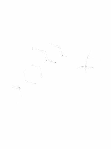 CC(C)(C)OC(=O)N1CCN(c2cc(B3OC(C)(C)C(C)(C)O3)cnc2C#N)CC1